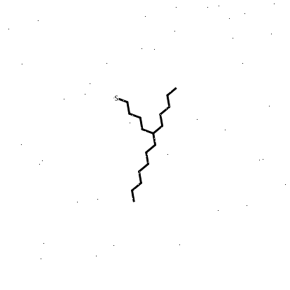 CCCCCCCC(CCCCC)CCCC[S]